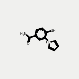 NC(=O)c1ccc(S)c([SH]2C=CC=C2)c1